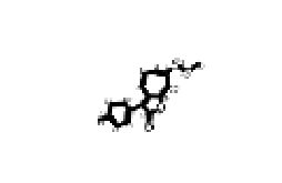 CSSc1cccc2c(-c3ccc(C)cc3)c(=O)oc-2c1